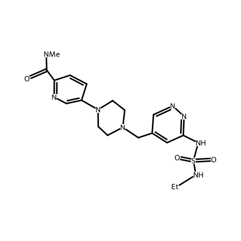 CCNS(=O)(=O)Nc1cc(CN2CCN(c3ccc(C(=O)NC)nc3)CC2)cnn1